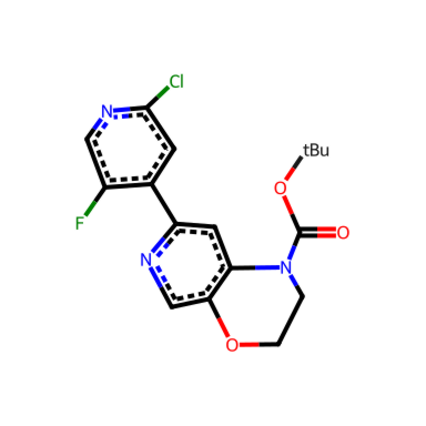 CC(C)(C)OC(=O)N1CCOc2cnc(-c3cc(Cl)ncc3F)cc21